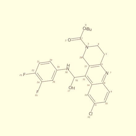 CC(C)COC(=O)N1CCc2nc3ccc(Cl)cc3c(C(O)Nc3ccc(F)c(F)c3)c2C1